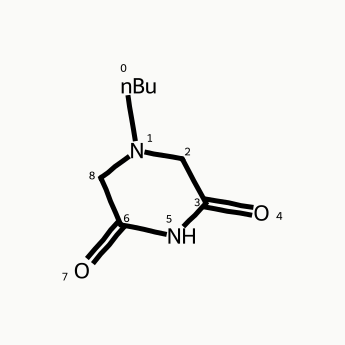 CCCCN1CC(=O)NC(=O)C1